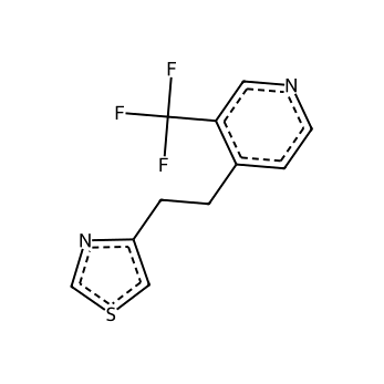 FC(F)(F)c1cnccc1CCc1cscn1